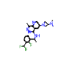 Cc1nnc(NC(C)c2cccc(C(F)F)c2F)c2cc(N3CC(N(C)C)C3)cnc12